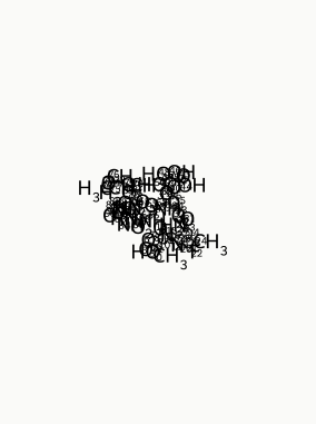 CCC1(O)C(=O)OCc2c1cc1n(c2=O)Cc2c-1nc1cc(F)c(C)c3c1c2C(NC(=O)OCc1ccc(OC2OC(C(=O)O)C(O)C(O)C2O)c(CNC(=O)CCNC(=O)C(CNC(=O)CCC(C)(C)OCCC(C)(C)OC)NC(=O)C(CN)N2C(=O)C=CC2=O)c1)CC3